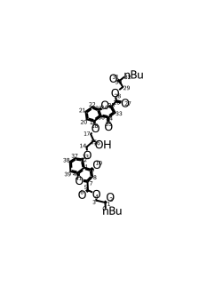 CCCCC(=O)COC(=O)c1cc(=O)c2c(OCC(O)COc3cccc4oc(C(=O)OCC(=O)CCCC)cc(=O)c34)cccc2o1